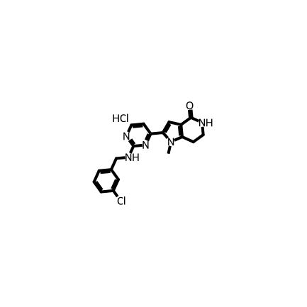 Cl.Cn1c(-c2ccnc(NCc3cccc(Cl)c3)n2)cc2c1CCNC2=O